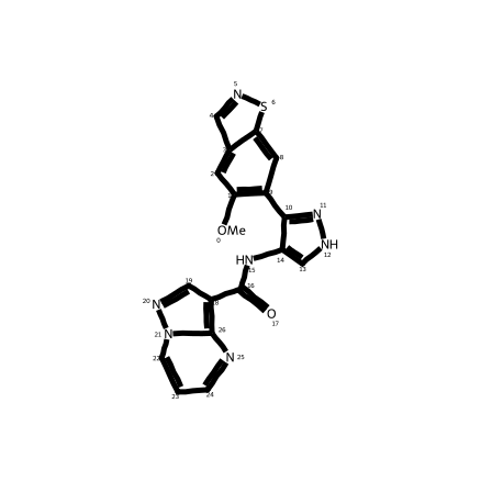 COc1cc2cnsc2cc1-c1n[nH]cc1NC(=O)c1cnn2cccnc12